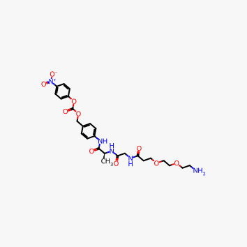 C[C@H](NC(=O)CNC(=O)CCOCCOCCN)C(=O)Nc1ccc(COC(=O)Oc2ccc([N+](=O)[O-])cc2)cc1